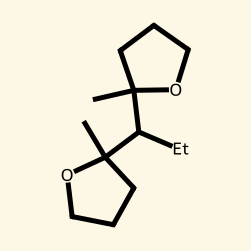 CCC(C1(C)CCCO1)C1(C)CCCO1